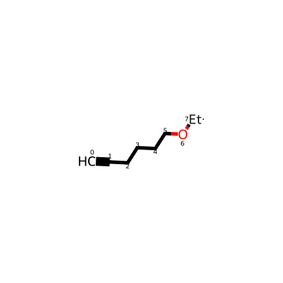 C#CCCCCO[CH]C